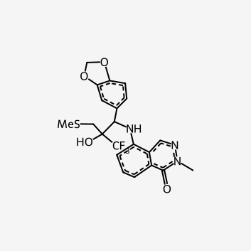 CSCC(O)(C(Nc1cccc2c(=O)n(C)ncc12)c1ccc2c(c1)OCO2)C(F)(F)F